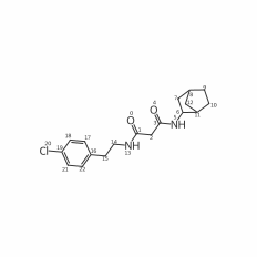 O=C(CC(=O)NC1CC2CCC1C2)NCCc1ccc(Cl)cc1